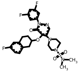 CN(C)S(=O)(=O)N1CCN(c2cnn(-c3cc(F)cc(F)c3)c(=O)c2OC2CCc3cc(F)ccc3C2)CC1